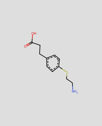 NCCSc1ccc(CCC(=O)O)cc1